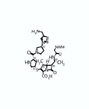 CNCC(=O)N[C@H](C)[C@H]1C(=O)N2C(C(=O)O)=C(S[C@@H]3CN[C@H](C(=O)N4CC[C@H](n5cc(CN)nn5)C4)C3)[C@H](C)[C@@H]12